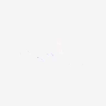 CCOCOc1cc(SC)ccc1-c1nnc(N[C@@H]2CCCN(C)C2)c2ccccc12